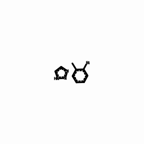 CCc1ccccc1C.c1c[nH]nn1